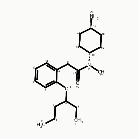 CCCC(CC)Oc1ccccc1CC(=O)N(C)[C@H]1CC[C@H](N)CC1